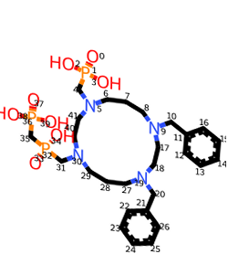 O=P(O)(O)CN1CCCN(Cc2ccccc2)CCN(Cc2ccccc2)CCCN(CP(=O)(O)CP(=O)(O)O)CC1